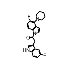 O=C(Cc1c[nH]c2ccc(F)cc12)n1ccc2c(N3CCCCC3)c(F)ccc21